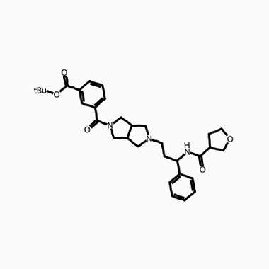 CC(C)(C)OC(=O)c1cccc(C(=O)N2CC3CN(CCC(NC(=O)C4CCOC4)c4ccccc4)CC3C2)c1